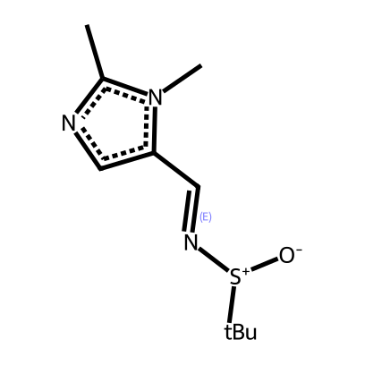 Cc1ncc(/C=N/[S+]([O-])C(C)(C)C)n1C